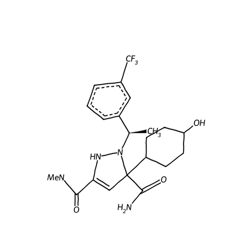 CNC(=O)C1=CC(C(N)=O)(C2CCC(O)CC2)N([C@H](C)c2cccc(C(F)(F)F)c2)N1